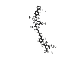 Cc1ncsc1-c1ccc(C(C)NC(=O)[C@@H]2C[C@@H](O)CN2C(=O)C(NC(=O)CCCCCc2cccc(NC(=O)C(CCC(N)=O)NC(=O)OC(C)(C)C)c2Cl)C(C)(C)C)cc1